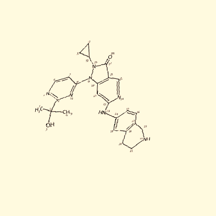 CC(C)(O)c1nccc(-n2c3cc(Nc4ccc5c(c4)CCNC5)ncc3c(=O)n2C2CC2)n1